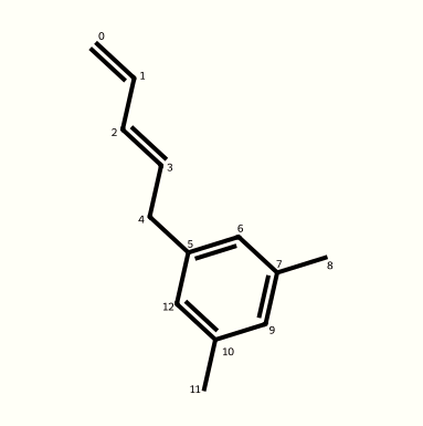 C=CC=CCc1cc(C)cc(C)c1